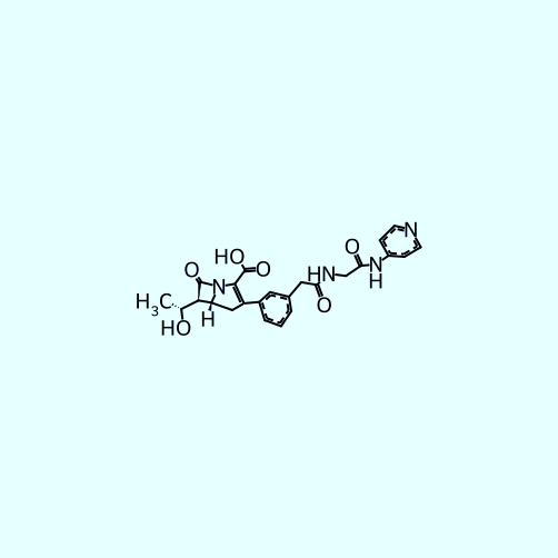 C[C@@H](O)[C@H]1C(=O)N2C(C(=O)O)=C(c3cccc(CC(=O)NCC(=O)Nc4ccncc4)c3)C[C@H]12